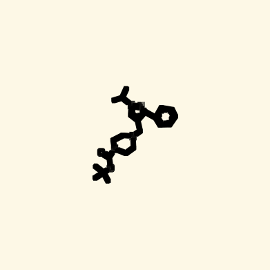 CC(C)n1cc(CN2CCN(C(=O)OC(C)(C)C)CC2)c(-c2ccccc2)n1